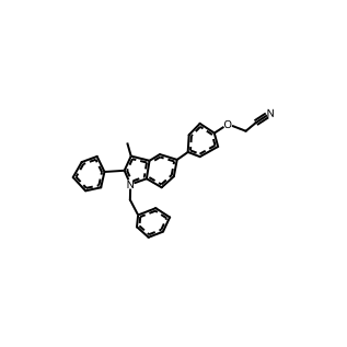 Cc1c(-c2ccccc2)n(Cc2ccccc2)c2ccc(-c3ccc(OCC#N)cc3)cc12